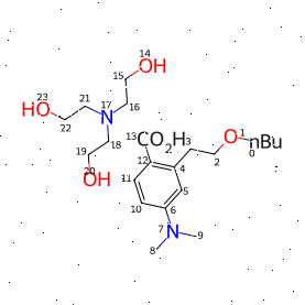 CCCCOCCc1cc(N(C)C)ccc1C(=O)O.OCCN(CCO)CCO